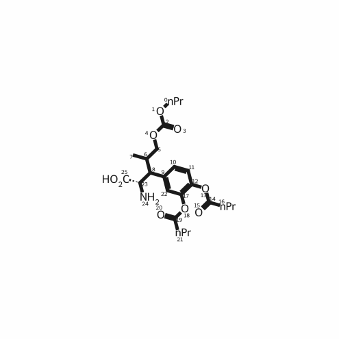 CCCOC(=O)OCC(C)C(c1ccc(OC(=O)CCC)c(OC(=O)CCC)c1)[C@H](N)C(=O)O